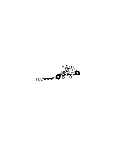 CCCCCCCCOc1ccc(NC(=O)[C@H](CCC(=O)OCc2ccccc2)NC(=O)OC(C)(C)C)cc1